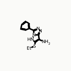 CCSc1[nH]n2c(-c3ccccc3)nnc2c1N